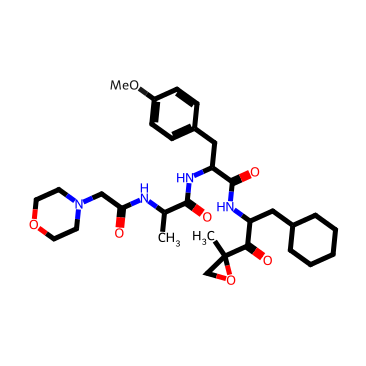 COc1ccc(CC(NC(=O)C(C)NC(=O)CN2CCOCC2)C(=O)NC(CC2CCCCC2)C(=O)C2(C)CO2)cc1